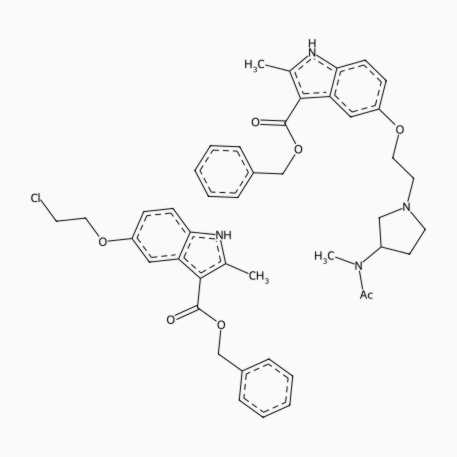 CC(=O)N(C)C1CCN(CCOc2ccc3[nH]c(C)c(C(=O)OCc4ccccc4)c3c2)C1.Cc1[nH]c2ccc(OCCCl)cc2c1C(=O)OCc1ccccc1